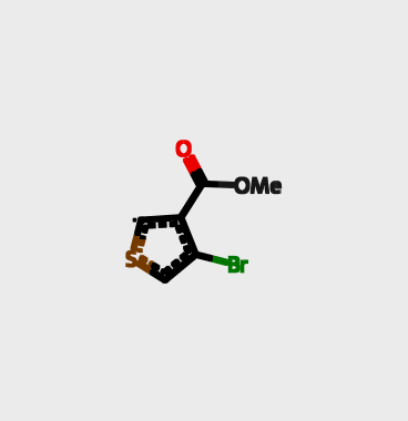 COC(=O)c1[c]scc1Br